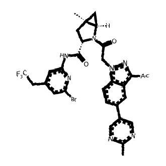 CC(=O)c1nn(CC(=O)N2[C@H](C(=O)Nc3cc(CC(F)(F)F)cc(Br)n3)C[C@@]3(C)C[C@@H]23)c2ccc(-c3cnc(C)nc3)cc12